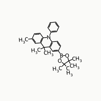 Cc1ccc2c(c1)C(C)(C)c1cc(B3OC(C)(C)C(C)(C)O3)ccc1N2c1ccccc1